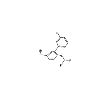 FC(F)Oc1ccc(CBr)cc1-c1cccc(Cl)c1